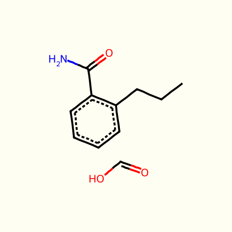 CCCc1ccccc1C(N)=O.O=CO